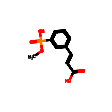 COP(=O)(O)c1cccc(/C=C/C(=O)O)c1